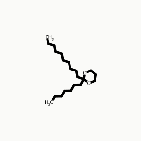 CCCCCCCCCCC1(CCCCCCC)OCCCO1